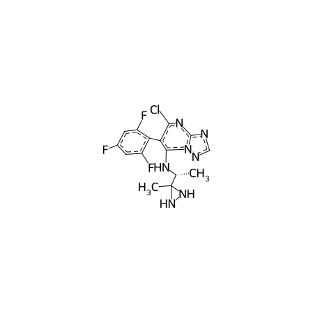 C[C@@H](Nc1c(-c2c(F)cc(F)cc2F)c(Cl)nc2ncnn12)C1(C)NN1